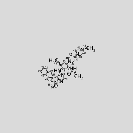 C=CC(=O)Nc1cc(Nc2cc(N3OCC[C@@H]3c3ccc4ccccc4c3)ncn2)c(OC)cc1N1CCC(N2CCN(CC)CC2)CC1